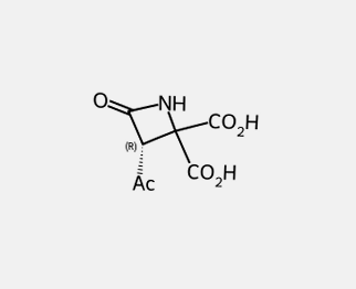 CC(=O)[C@@H]1C(=O)NC1(C(=O)O)C(=O)O